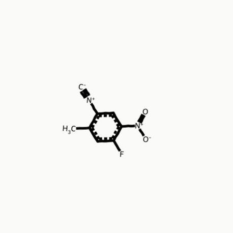 [C-]#[N+]c1cc([N+](=O)[O-])c(F)cc1C